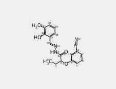 CCC(Oc1cccc(C#N)c1)C(=O)NN=Cc1cccc(C)c1O